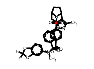 COC(=O)c1ccc(S(=O)(=O)N2C3CCC2c2c(C(F)(F)F)nn(-c4cccc(C(=O)N(C)c5ccc6c(c5)OC(F)(F)O6)c4)c2C3)cc1